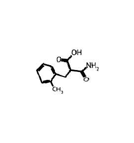 Cc1ccccc1CC(C(N)=O)C(=O)O